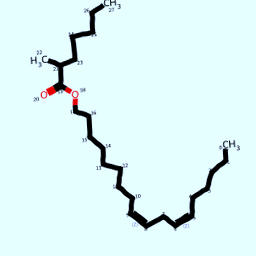 CCCCC/C=C\C/C=C\CCCCCCCCOC(=O)C(C)CCCCC